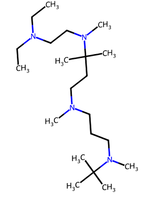 CCN(CC)CCN(C)C(C)(C)CCN(C)CCCN(C)C(C)(C)C